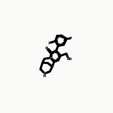 O=c1c(-c2cc(F)ccc2F)c(CO)cc2n1CC1CNCC2C1